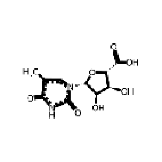 Cc1cn([C@@H]2O[C@H](C(=O)O)[C@@H](O)[C@H]2O)c(=O)[nH]c1=O